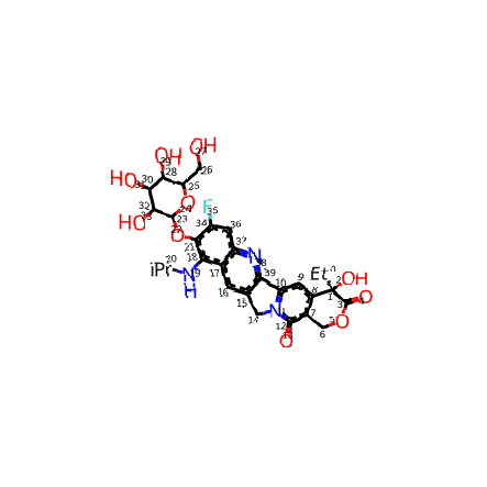 CC[C@@]1(O)C(=O)OCc2c1cc1n(c2=O)Cc2cc3c(NC(C)C)c(OC4OC(CO)C(O)C(O)C4O)c(F)cc3nc2-1